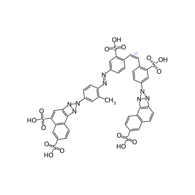 Cc1cc(-n2n3c4cc(S(=O)(=O)O)c5cc(S(=O)(=O)O)ccc5c4n23)ccc1N=Nc1ccc(/C=C\c2ccc(-n3n4c5ccc6cc(S(=O)(=O)O)ccc6c5n34)cc2S(=O)(=O)O)c(S(=O)(=O)O)c1